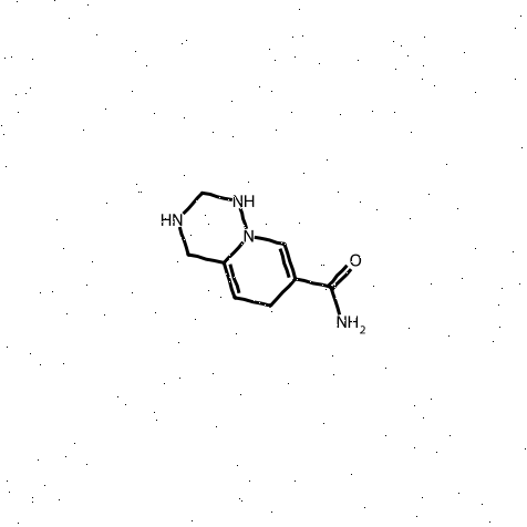 NC(=O)C1=CN2NCNCC2=CC1